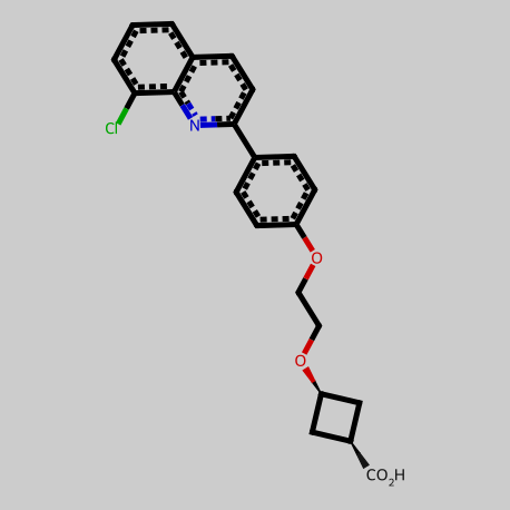 O=C(O)[C@H]1C[C@@H](OCCOc2ccc(-c3ccc4cccc(Cl)c4n3)cc2)C1